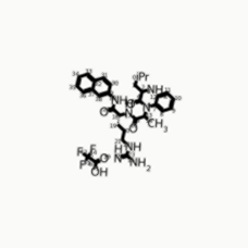 CC(C)CC(N)C(=O)N(c1ccccc1)C(C)C(=O)N[C@H](CCCNC(=N)N)C(=O)Nc1ccc2ccccc2c1.O=C(O)C(F)(F)F